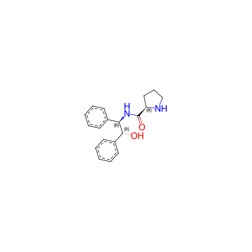 O=C(N[C@H](c1ccccc1)[C@H](O)c1ccccc1)[C@H]1CCCN1